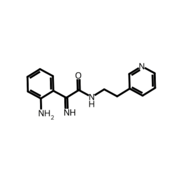 N=C(C(=O)NCCc1cccnc1)c1ccccc1N